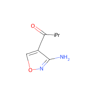 CC(C)C(=O)c1conc1N